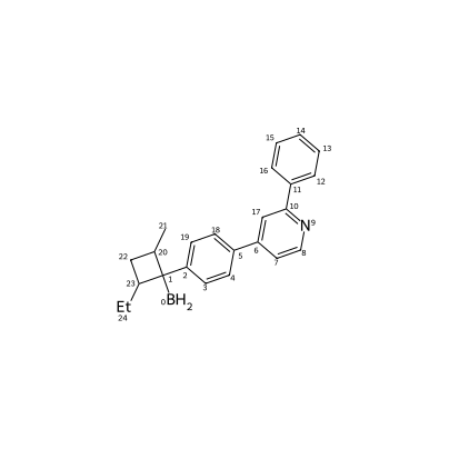 BC1(c2ccc(-c3ccnc(-c4ccccc4)c3)cc2)C(C)CC1CC